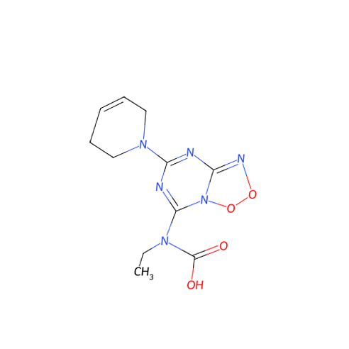 CCN(C(=O)O)C1=NC(N2CC=CCC2)=NC2=NOON21